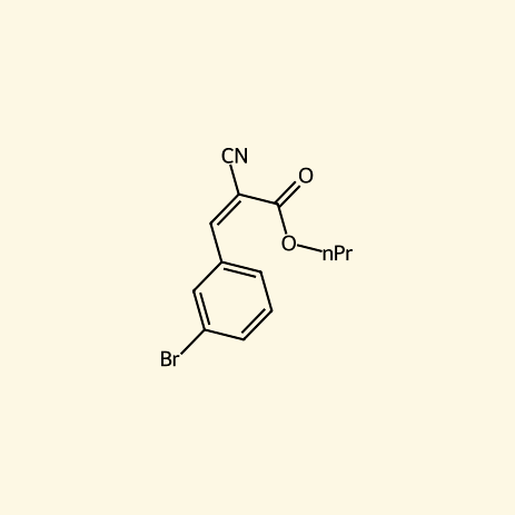 CCCOC(=O)C(C#N)=Cc1cccc(Br)c1